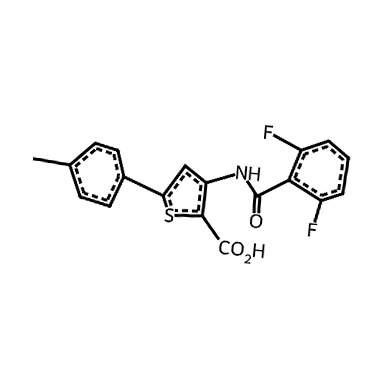 Cc1ccc(-c2cc(NC(=O)c3c(F)cccc3F)c(C(=O)O)s2)cc1